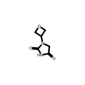 O=C1CN(C2COC2)C(=O)N1